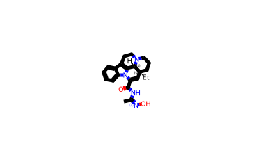 CC[C@@]12C=C(C(=O)N/C(C)=N\O)n3c4c(c5ccccc53)CCN(CCC1)[C@H]42